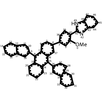 COc1cc(-c2ccc3c(-c4ccc5ccccc5c4)c4ccccc4c(-c4ccc5ccccc5c4)c3c2)ccc1-c1nc2ccccc2[nH]1